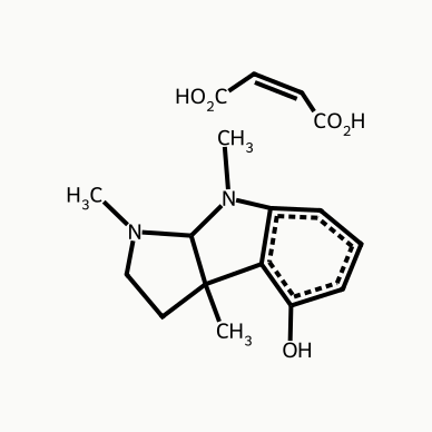 CN1CCC2(C)c3c(O)cccc3N(C)C12.O=C(O)/C=C\C(=O)O